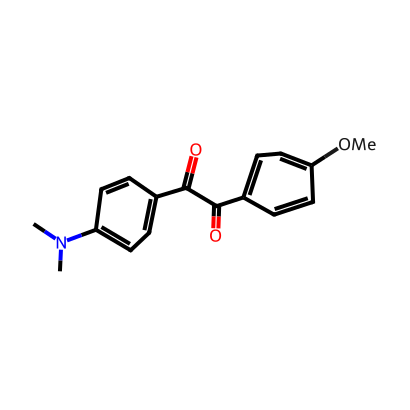 COc1ccc(C(=O)C(=O)c2ccc(N(C)C)cc2)cc1